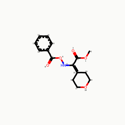 COC(=O)C(NOC(=O)c1ccccc1)=C1CCOCC1